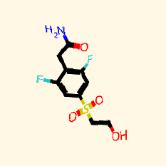 NC(=O)Cc1c(F)cc(S(=O)(=O)CCO)cc1F